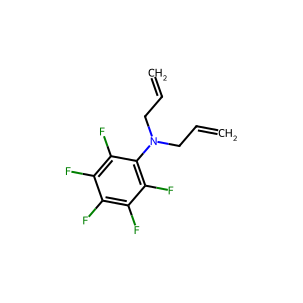 C=CCN(CC=C)c1c(F)c(F)c(F)c(F)c1F